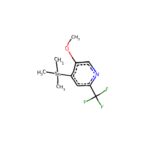 COc1cnc(C(F)(F)F)c[c]1[Sn]([CH3])([CH3])[CH3]